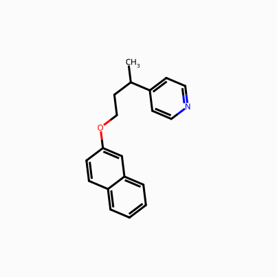 CC(CCOc1ccc2ccccc2c1)c1ccncc1